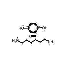 C=O.NCCCCCCN.Oc1ccc(O)cc1